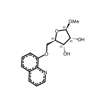 CO[C@@H]1O[C@H](COc2cccc3cccnc23)[C@@H](O)[C@H]1O